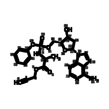 C#CCOC(=O)[C@H](C)NP(=O)(OC[C@H]1O[C@@H](n2cnc3c(N)ncnc32)C[C@@H]1O)Oc1ccccc1